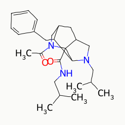 CC(=O)N1CC2CC3CN(CC(C)C)C(C2Cc2ccccc2)C31C(=O)NCC(C)C